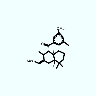 CO/C=C1/C[C@H]2C(C)(C)CCC[C@]2(C)[C@@H](C(=O)c2cc(C)cc(OC)c2)C1C